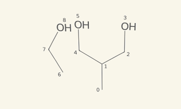 CC(CO)CO.CCO